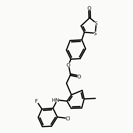 Cc1ccc(Nc2c(F)cccc2Cl)c(CC(=O)Oc2ccc(-c3cc(=O)ss3)cc2)c1